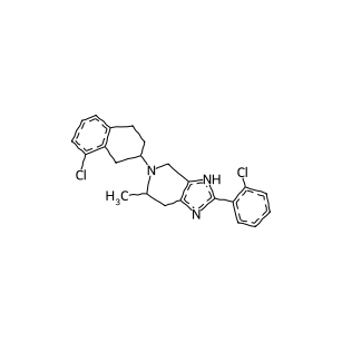 CC1Cc2nc(-c3ccccc3Cl)[nH]c2CN1C1CCc2cccc(Cl)c2C1